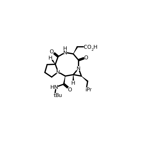 CC(C)C[C@H]1[C@@H]2[C@@H](C(=O)NC(C)(C)C)N3CCC[C@@H]3C(=O)N[C@@H](CC(=O)O)C(=O)N21